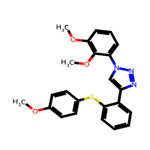 COc1ccc(Sc2ccccc2-c2cn(-c3cccc(OC)c3OC)nn2)cc1